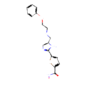 O=C(NO)c1ccc(-c2ncc(CNCCOc3ccccc3)[nH]2)s1